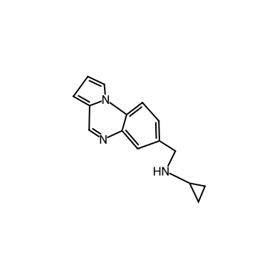 c1cc2cnc3cc(CNC4CC4)ccc3n2c1